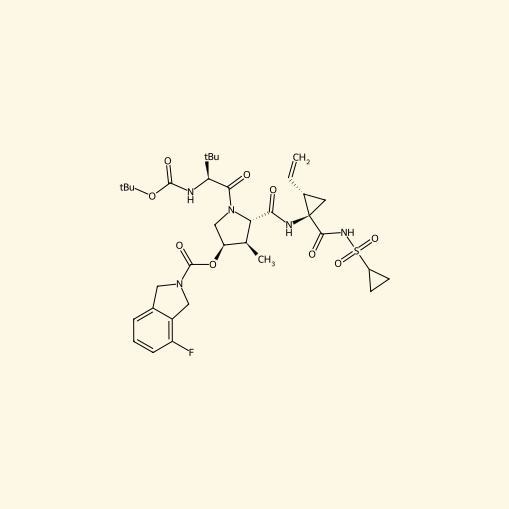 C=C[C@@H]1C[C@]1(NC(=O)[C@@H]1[C@@H](C)[C@@H](OC(=O)N2Cc3cccc(F)c3C2)CN1C(=O)[C@@H](NC(=O)OC(C)(C)C)C(C)(C)C)C(=O)NS(=O)(=O)C1CC1